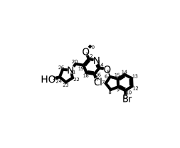 COc1nc(O[C@H]2CCc3c(Br)cccc32)c(Cl)cc1CN1CCC(O)C1